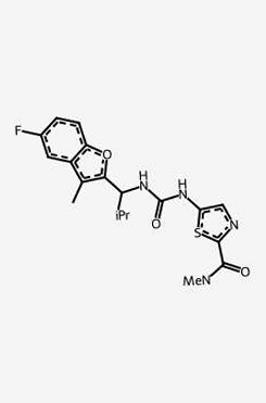 CNC(=O)c1ncc(NC(=O)NC(c2oc3ccc(F)cc3c2C)C(C)C)s1